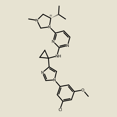 COc1cc(Cl)cc(-n2cnc(C3(Nc4nccc(N5CN(C)C[C@@H]5C(C)C)n4)CC3)c2)c1